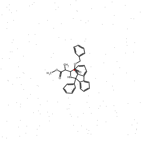 COC(=O)C(C)C(NC1(c2ccccc2)c2ccccc2-c2ccccc21)C(=O)OCc1ccccc1